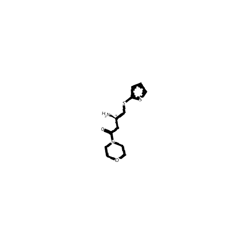 N[C@@H](CSc1cccs1)CC(=O)N1CCOCC1